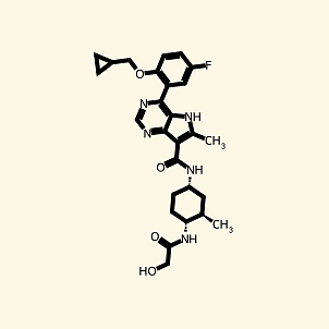 Cc1[nH]c2c(-c3cc(F)ccc3OCC3CC3)ncnc2c1C(=O)N[C@H]1CC[C@@H](NC(=O)CO)[C@H](C)C1